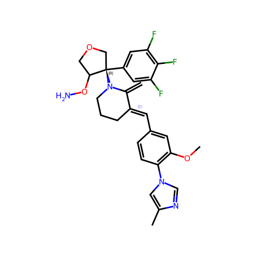 C=C1/C(=C/c2ccc(-n3cnc(C)c3)c(OC)c2)CCCN1[C@]1(c2cc(F)c(F)c(F)c2)COCC1ON